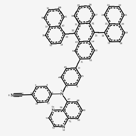 N#Cc1ccc(N(c2ccc(-c3ccc4c(-c5cccc6ccccc56)c5ccccc5c(-c5cccc6ccccc56)c4c3)cc2)c2cccc3nccnc23)cc1